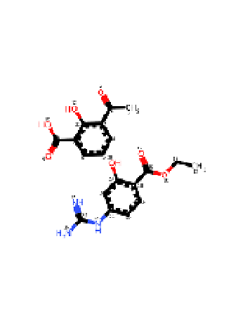 CC(=O)c1cccc(C(=O)O)c1O.CCOC(=O)c1ccc(NC(=N)N)cc1O